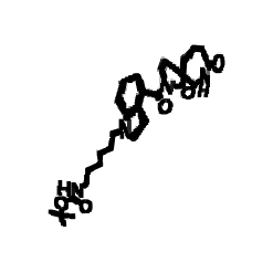 CC(C)(C)OC(=O)NCCCCCCn1ccc2c(C(=O)N3CCC4(CCCC(=O)NC4=O)C3)cccc21